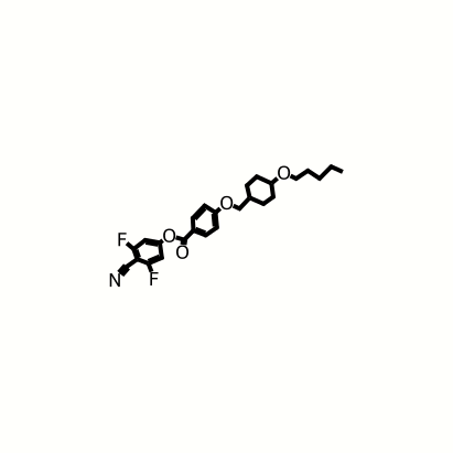 CCCCCOC1CCC(COc2ccc(C(=O)Oc3cc(F)c(C#N)c(F)c3)cc2)CC1